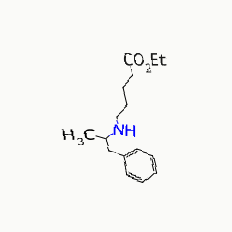 CCOC(=O)CCCCNC(C)Cc1ccccc1